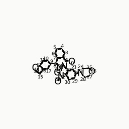 O=c1c2ccccc2c(-c2ccc3occc3c2)nn1-c1cc(N2CCOCC2)ccc1[N+](=O)[O-]